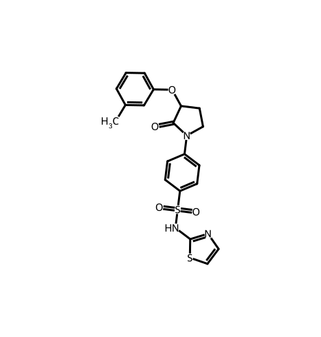 Cc1cccc(OC2CCN(c3ccc(S(=O)(=O)Nc4nccs4)cc3)C2=O)c1